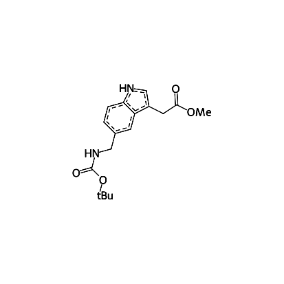 COC(=O)Cc1c[nH]c2ccc(CNC(=O)OC(C)(C)C)cc12